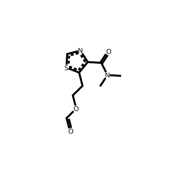 CN(C)C(=O)c1ncsc1CCOC=O